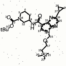 CC(C)(C)OC(=O)N1CCCC(NC(=O)c2cn(COCC[Si](C)(C)C)c3ncc(C4CC4)nc23)C1